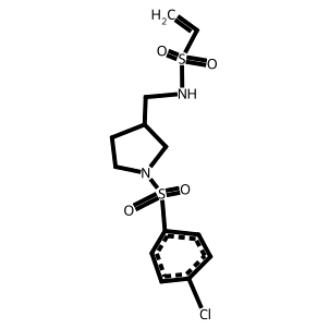 C=CS(=O)(=O)NCC1CCN(S(=O)(=O)c2ccc(Cl)cc2)C1